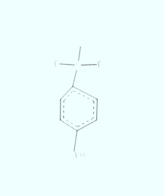 CC(C)(C)c1ccc(S(F)(F)F)cc1